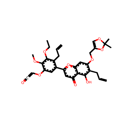 C=CCc1c(-c2cc(=O)c3c(O)c(CC=C)c(OCC4=COC(C)(C)O4)cc3o2)cc(OC=C=O)c(OC)c1OCC